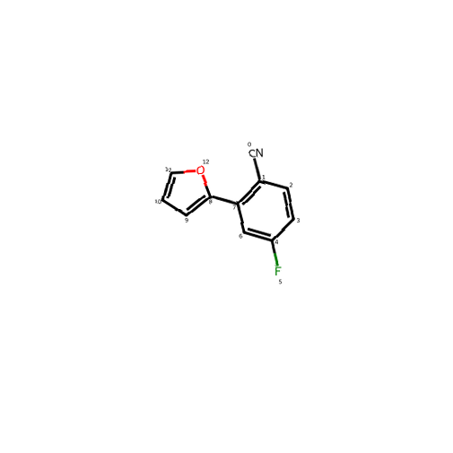 N#Cc1ccc(F)cc1-c1ccco1